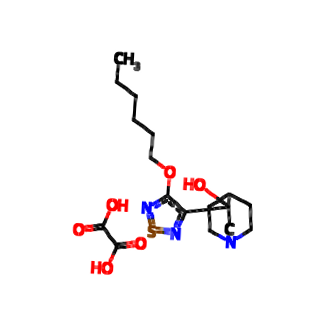 CCCCCCOc1nsnc1C1(O)CN2CCC1CC2.O=C(O)C(=O)O